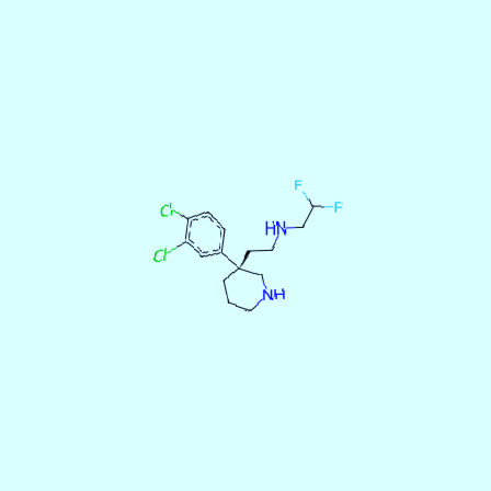 FC(F)CNCC[C@]1(c2ccc(Cl)c(Cl)c2)CCCNC1